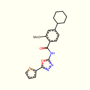 COc1cc(C2CCCCC2)ccc1C(=O)Nc1nnc(-c2cccs2)o1